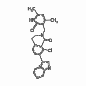 Cc1cc(C)c(CN2CCc3ccc(-c4cnc5ccccn45)c(Cl)c3C2=O)c(=O)[nH]1